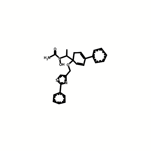 CC(N(O)C(N)=O)C1(OCc2csc(-c3ccccc3)n2)C=CC(c2ccccc2)=CC1